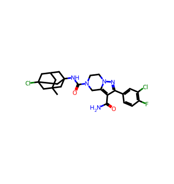 CC12CC3CC(Cl)(C1)CC(NC(=O)N1CCn4nc(-c5ccc(F)c(Cl)c5)c(C(N)=O)c4C1)(C3)C2